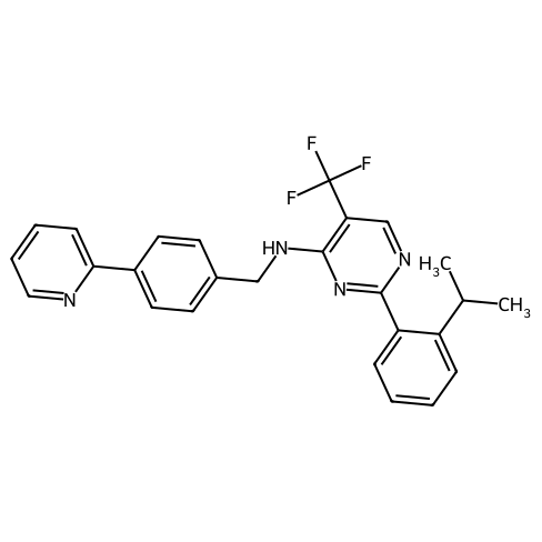 CC(C)c1ccccc1-c1ncc(C(F)(F)F)c(NCc2ccc(-c3ccccn3)cc2)n1